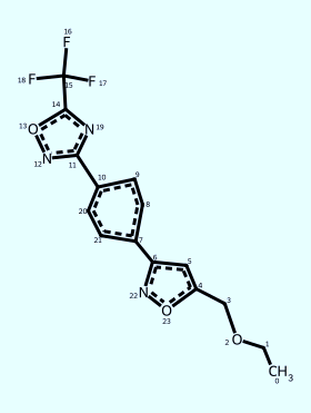 CCOCc1cc(-c2ccc(-c3noc(C(F)(F)F)n3)cc2)no1